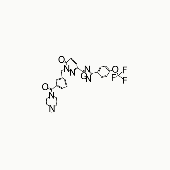 CN1CCN(C(=O)c2cccc(Cn3nc(-c4nc(-c5ccc(OC(F)(F)F)cc5)no4)ccc3=O)c2)CC1